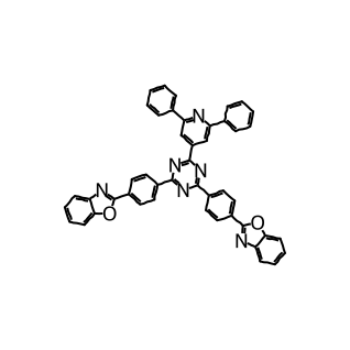 c1ccc(-c2cc(-c3nc(-c4ccc(-c5nc6ccccc6o5)cc4)nc(-c4ccc(-c5nc6ccccc6o5)cc4)n3)cc(-c3ccccc3)n2)cc1